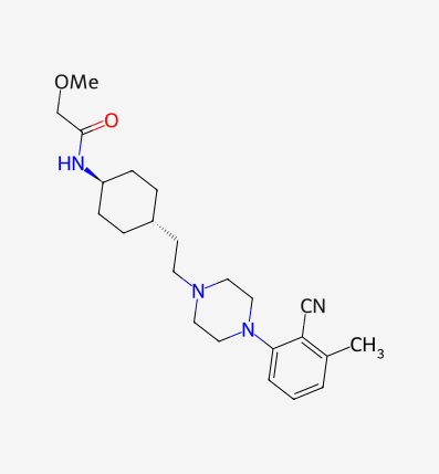 COCC(=O)N[C@H]1CC[C@H](CCN2CCN(c3cccc(C)c3C#N)CC2)CC1